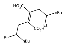 CCCCC(CC)C/C(C(=O)O)=C(/CC(CC)CCCC)C(=O)O